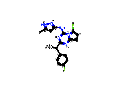 COC(c1ccc(F)cc1)c1nc(Nc2cc(C)[nH]n2)n2c(F)ccc2n1